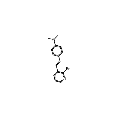 CN(C)c1ccc(C=Cc2cccnc2Br)cc1